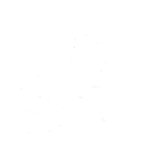 c1cncc(-c2nc(-c3cc4ccccc4c4c3oc3ccc5ccccc5c34)cc(-c3cc4ccccc4c4c3oc3ccc5ccccc5c34)n2)c1